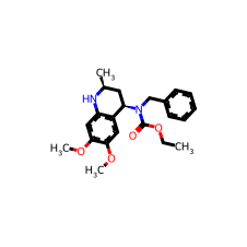 CCOC(=O)N(Cc1ccccc1)[C@@H]1C[C@H](C)Nc2cc(OC)c(OC)cc21